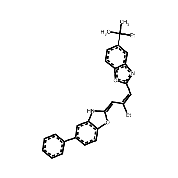 CCC(=Cc1nc2cc(C(C)(C)CC)ccc2o1)C=C1Nc2cc(-c3ccccc3)ccc2O1